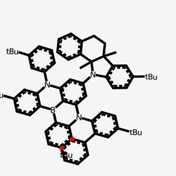 CC(C)(C)c1cccc(N2c3cc(C(C)(C)C)ccc3B3c4ccc(C(C)(C)C)cc4N(c4ccc(C(C)(C)C)cc4-c4ccccc4)c4cc(N5c6ccc(C(C)(C)C)cc6C6(C)CCc7ccccc7C56C)cc2c43)c1